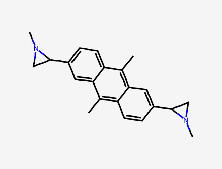 Cc1c2ccc(C3CN3C)cc2c(C)c2ccc(C3CN3C)cc12